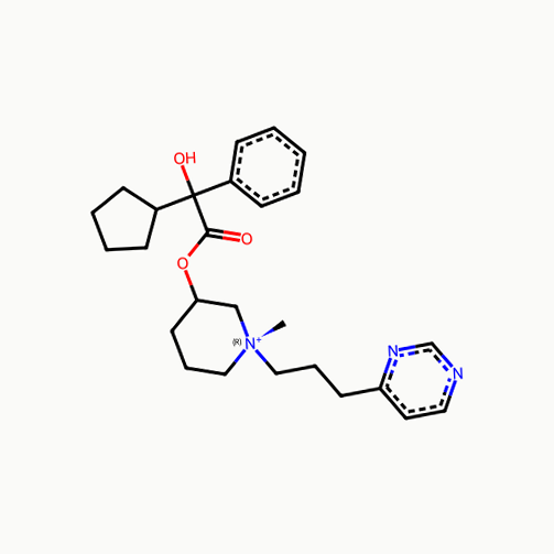 C[N@@+]1(CCCc2ccncn2)CCCC(OC(=O)C(O)(c2ccccc2)C2CCCC2)C1